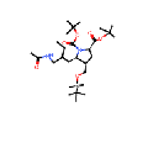 CCC(CNC(C)=O)C[C@@H]1[C@H](CO[Si](C)(C)C(C)(C)C)C[C@H](C(=O)OC(C)(C)C)N1C(=O)OC(C)(C)C